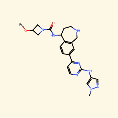 CC(C)OC1CN(C(=O)NC2CCNCc3cc(-c4ccnc(Nc5cnn(C)c5)n4)ccc32)C1